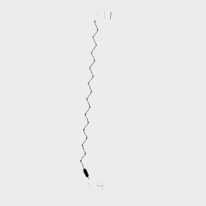 [CH2]C#CCCCCCCCCCCCCCCCCCCC[CH2]